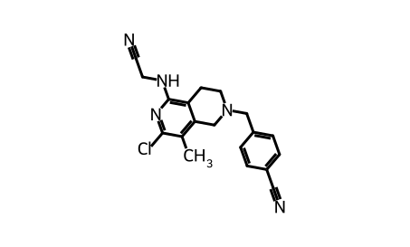 Cc1c(Cl)nc(NCC#N)c2c1CN(Cc1ccc(C#N)cc1)CC2